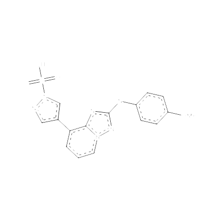 COc1ccc(Nc2nc3c(-c4cnn(S(C)(=O)=O)c4)cccn3n2)cc1